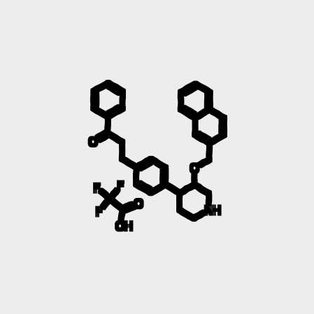 O=C(CCc1ccc(C2CCNCC2OCc2ccc3ccccc3c2)cc1)c1ccccc1.O=C(O)C(F)(F)F